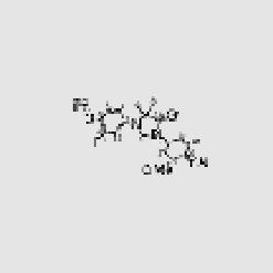 COc1cc(N2CN(c3ccc(OC(C)C)c(F)c3)C(C)(C)C2=O)ccc1C#N